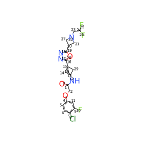 O=C(COc1ccc(Cl)c(F)c1)NC12CC(c3nnc(C4CN(CC(F)F)C4)o3)(C1)C2